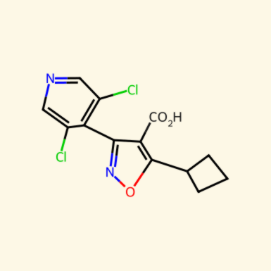 O=C(O)c1c(-c2c(Cl)cncc2Cl)noc1C1CCC1